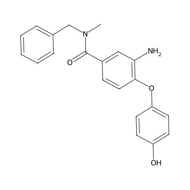 CN(Cc1ccccc1)C(=O)c1ccc(Oc2ccc(O)cc2)c(N)c1